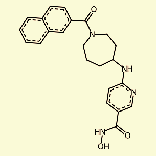 O=C(NO)c1ccc(NC2CCCN(C(=O)c3ccc4ccccc4c3)CC2)nc1